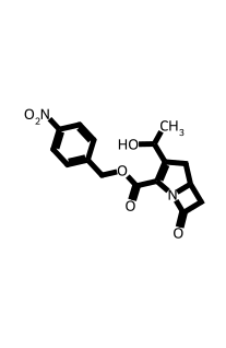 CC(O)C1=C(C(=O)OCc2ccc([N+](=O)[O-])cc2)N2C(=O)CC2C1